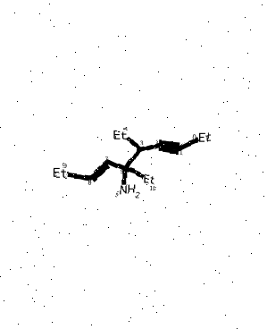 CCC#CC(CC)C(N)(C=CCC)CC